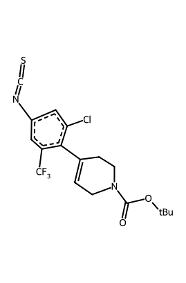 CC(C)(C)OC(=O)N1CC=C(c2c(Cl)cc(N=C=S)cc2C(F)(F)F)CC1